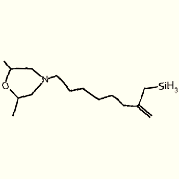 C=C(C[SiH3])CCCCCCN1CC(C)OC(C)C1